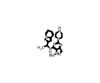 CC[C@H](C)n1ncc2nc(N3CCNCC3)nc(NC(C)c3cc4ccccn4n3)c21